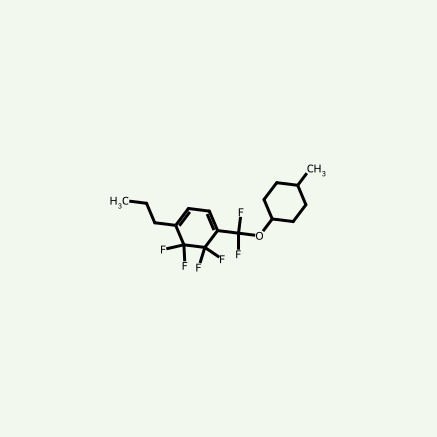 CCCC1=CC=C(C(F)(F)OC2CCC(C)CC2)C(F)(F)C1(F)F